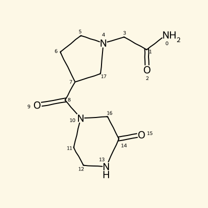 NC(=O)CN1CCC(C(=O)N2CCNC(=O)C2)C1